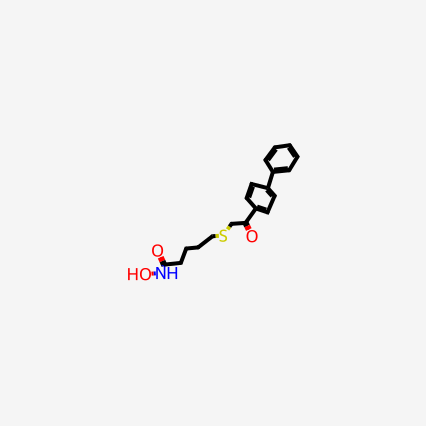 O=C(CCCCSCC(=O)c1ccc(-c2ccccc2)cc1)NO